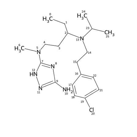 CCC(CCN(C)c1nc(N)n[nH]1)N(CCc1ccc(Cl)cc1)C(C)C